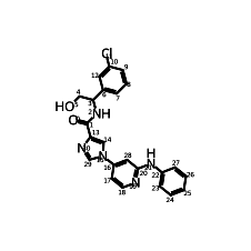 O=C(NC(CO)c1cccc(Cl)c1)c1cn(-c2ccnc(Nc3ccccc3)c2)cn1